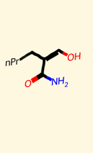 CCCCC(=CO)C(N)=O